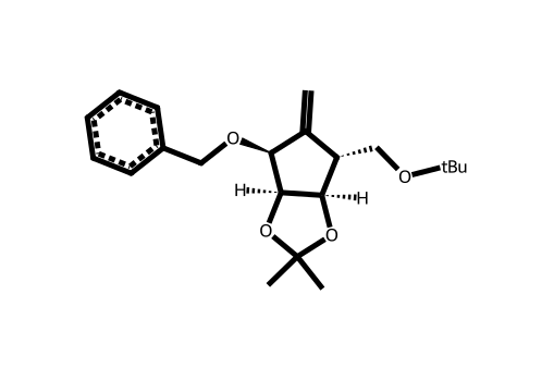 C=C1[C@H](COC(C)(C)C)[C@H]2OC(C)(C)O[C@H]2[C@H]1OCc1ccccc1